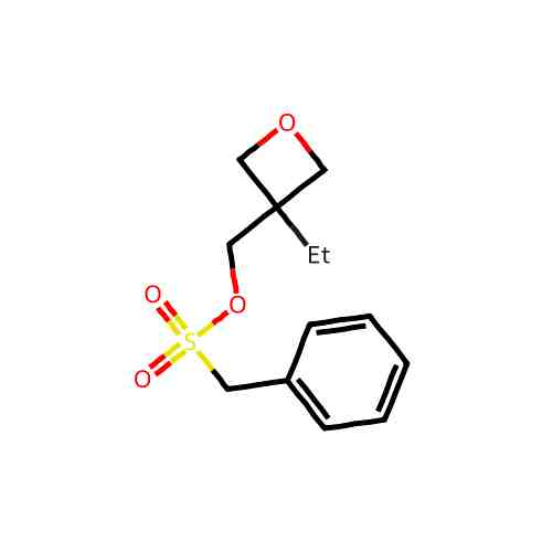 CCC1(COS(=O)(=O)Cc2ccccc2)COC1